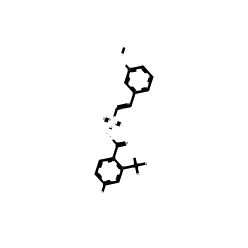 COc1cccc(/C=C/S(=O)(=O)NC(=O)c2ccc(F)cc2C(F)(F)F)c1